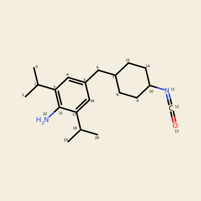 CC(C)c1cc(CC2CCC(N=C=O)CC2)cc(C(C)C)c1N